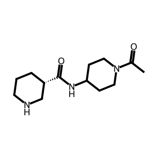 CC(=O)N1CCC(NC(=O)[C@H]2CCCNC2)CC1